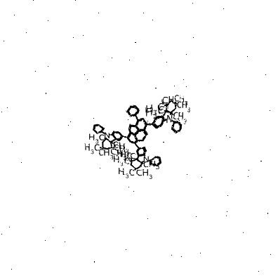 CC1(C)CC(C)(C)C2(C)c3cc(-c4cc(-c5ccccc5)c5ccc6c(-c7ccc8c(c7)C7(C)C(C)(C)CC(C)(C)CC7(C)N8c7ccccc7)cc(-c7ccc8c(c7)C7(C)C(C)(C)CC(C)(C)CC7(C)N8c7ccccc7)c7ccc4c5c67)ccc3N(c3ccccc3)C2(C)C1